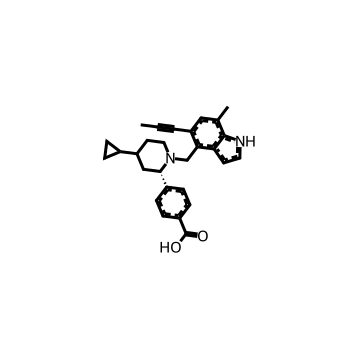 CC#Cc1cc(C)c2[nH]ccc2c1CN1CCC(C2CC2)C[C@H]1c1ccc(C(=O)O)cc1